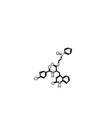 O=C(NC(Cc1cc(=O)[nH]c2ccccc12)C(=O)SCC[S+]([O-])c1ccccc1)c1ccc(Cl)cc1